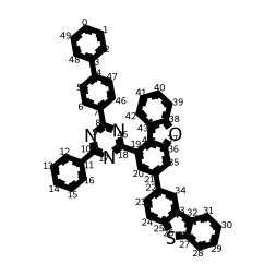 c1ccc(-c2ccc(-c3nc(-c4ccccc4)nc(-c4cc(-c5ccc6sc7ccccc7c6c5)cc5oc6ccccc6c45)n3)cc2)cc1